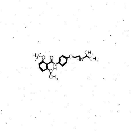 COc1cccc(OC)c1C(=O)Nc1ccc(OCCNC(C)C)cc1